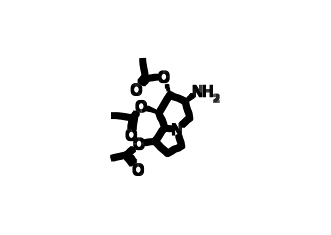 CC(=O)OC1CCN2C[C@H](N)[C@@H](OC(C)=O)[C@H](OC(C)=O)C12